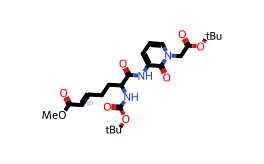 COC(=O)/C=C/CCC(NC(=O)OC(C)(C)C)C(=O)Nc1cccn(CC(=O)OC(C)(C)C)c1=O